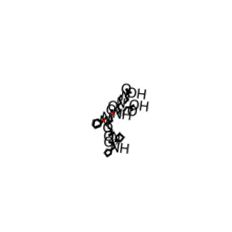 O=C(O)CC[C@H](NC(=O)c1cc(OCC(=O)N2CCC[C@H]2C(=O)NC2CCCC2)n(-c2ccccc2)n1)C(=O)N1CCN(C(=O)O)CC1